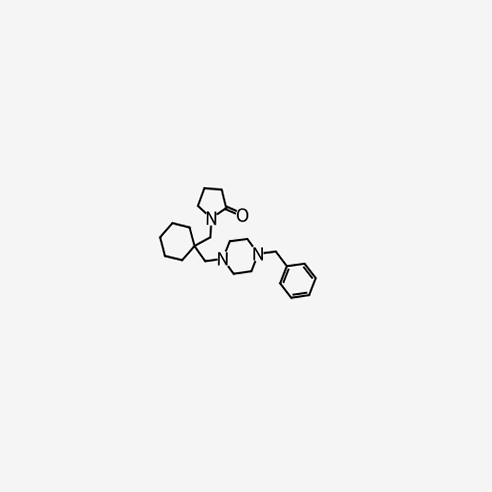 O=C1CCCN1CC1(CN2CCN(Cc3ccccc3)CC2)CCCCC1